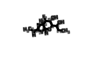 CC[C@H](O)[C@H]1O[C@@H]2SC(NC)=N[C@@H]2[C@@H](F)[C@@H]1O